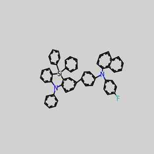 Fc1ccc(N(c2ccc(-c3ccc4c(c3)[Si](c3ccccc3)(c3ccccc3)c3ccccc3N4c3ccccc3)cc2)c2cccc3ccccc23)cc1